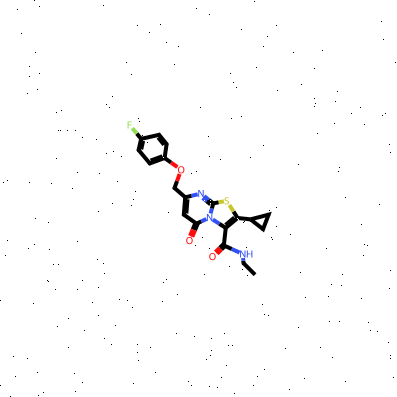 CCNC(=O)c1c(C2CC2)sc2nc(COc3ccc(F)cc3)cc(=O)n12